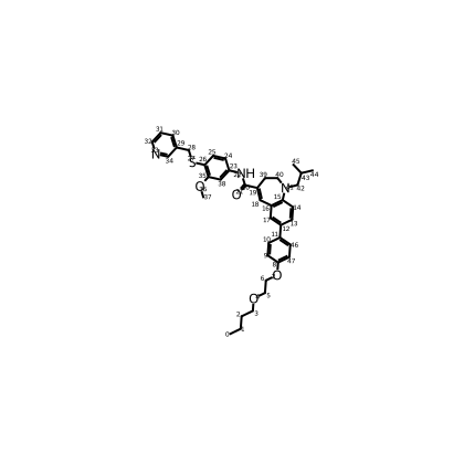 CCCCOCCOc1ccc(-c2ccc3c(c2)C=C(C(=O)Nc2ccc(SCc4cccnc4)c(OC)c2)CCN3CC(C)C)cc1